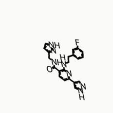 O=C(NCc1cc[nH]n1)c1ccc(-c2cn[nH]c2)nc1NCCc1cccc(F)c1